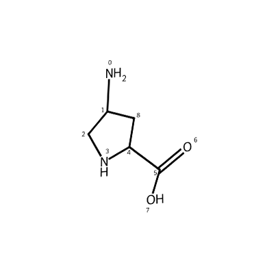 NC1CNC(C(=O)O)C1